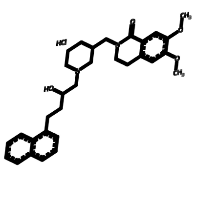 COc1cc2c(cc1OC)C(=O)N(CC1CCCN(CC(O)CCc3cccc4ccccc34)C1)CC2.Cl